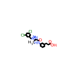 Cc1c(C(=O)Nc2cccc(CCC(=O)O)c2)nnn1Cc1cc(Cl)cc(Cl)c1